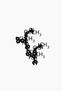 Cc1noc(/C=C/C(=O)N2CC(CN(C)c3nc(OCC45CCCN4C(c4cc(Cl)c6c(-c7ncc8c(N(C)[C@@H]9CCN(C(=O)/C=C/c%10nc(C)no%10)C9)nc(OCC9%10CCCN9CCC%10)nc8c7F)cccc6c4)CC5)nc4c3CCN(c3cccc5cccc(Cl)c35)C4)C2)n1